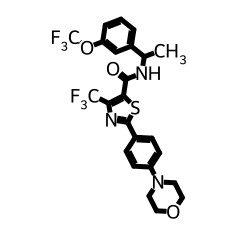 CC(NC(=O)c1sc(-c2ccc(N3CCOCC3)cc2)nc1C(F)(F)F)c1cccc(OC(F)(F)F)c1